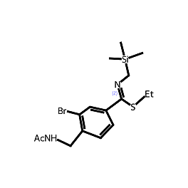 CCS/C(=N\C[Si](C)(C)C)c1ccc(CNC(C)=O)c(Br)c1